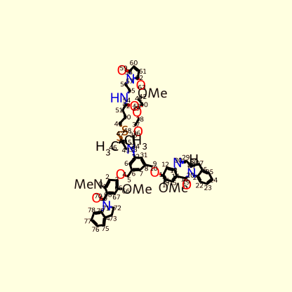 CNc1cc(OCc2cc(COc3cc4c(cc3OC)C(=O)N3c5ccccc5C[C@H]3C=N4)cc(N(CCOCCOCCOC)CC(C)(C)SSCCCC(=O)NCCN3C(=O)C=CC3=O)c2)c(OC)cc1C(=O)N1CCc2ccccc21